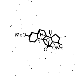 COC(=O)O[C@]12CC[C@]3(C)C(=O)[C@@H](C)C[C@H]3[C@@H]1CC=C1C=C(OC)CC[C@@]12C